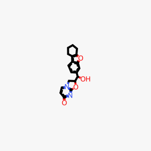 O=c1ccn2c(n1)OC(C(O)c1ccc3c4c(oc3c1)CCCC4)C2